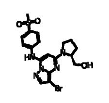 CS(=O)(=O)c1ccc(Nc2cc(N3CCC[C@H]3CO)nc3c(Br)cnn23)cc1